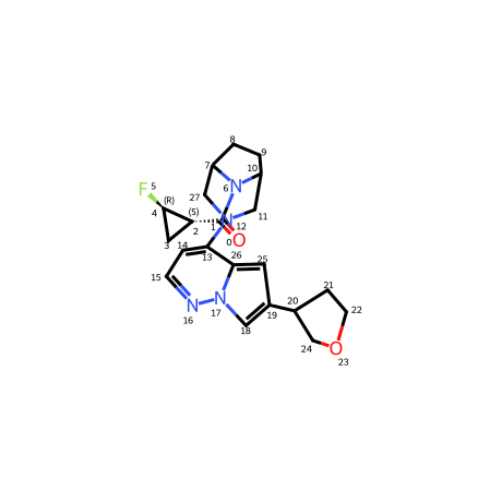 O=C([C@@H]1C[C@H]1F)N1C2CCC1CN(c1ccnn3cc(C4CCOC4)cc13)C2